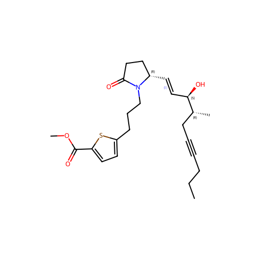 CCCC#CC[C@@H](C)[C@H](O)/C=C/[C@H]1CCC(=O)N1CCCc1ccc(C(=O)OC)s1